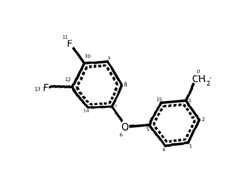 [CH2]c1cccc(Oc2ccc(F)c(F)c2)c1